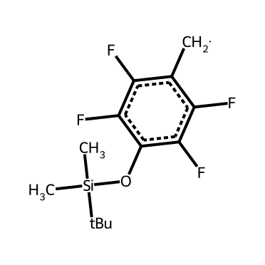 [CH2]c1c(F)c(F)c(O[Si](C)(C)C(C)(C)C)c(F)c1F